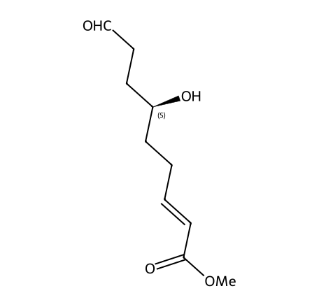 COC(=O)C=CCC[C@H](O)CCC=O